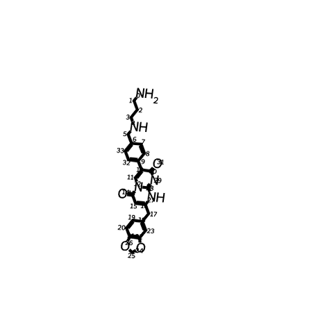 NCCCNCc1ccc(-c2cn3c(=O)cc(Cc4ccc5c(c4)OCO5)[nH]c3nc2=O)cc1